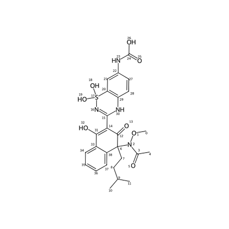 CON(C(C)=O)C1(CCC(C)C)C(=O)C(C2=NS(O)(O)c3cc(NC(=O)O)ccc3N2)=C(O)c2ccccc21